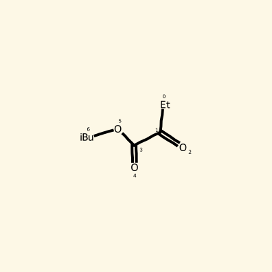 CCC(=O)C(=O)OC(C)CC